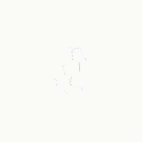 Nc1ncnc2cc3[nH]cnc3cc12